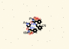 CC(=O)N1CCC(NC2=C(c3ccccc3)S(=O)(=O)N(C(C)(C)C)C2=O)CC1.CC(C)N1C(=O)C(NCCc2cccc(C#N)c2)=C(c2ccccc2)S1(O)O